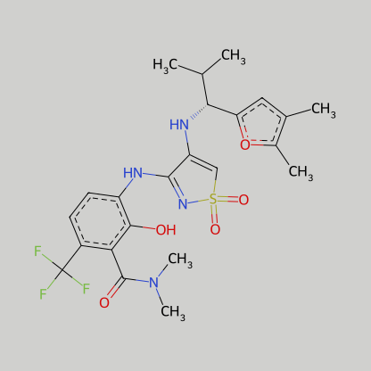 Cc1cc([C@H](NC2=CS(=O)(=O)N=C2Nc2ccc(C(F)(F)F)c(C(=O)N(C)C)c2O)C(C)C)oc1C